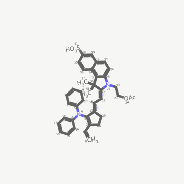 C=CC1=C(N(C2=CC=CCC2)c2ccccc2)/C(=C/C=C2/N(CCOC(C)=O)c3ccc4cc(S(=O)(=O)O)ccc4c3C2(C)C)CC1